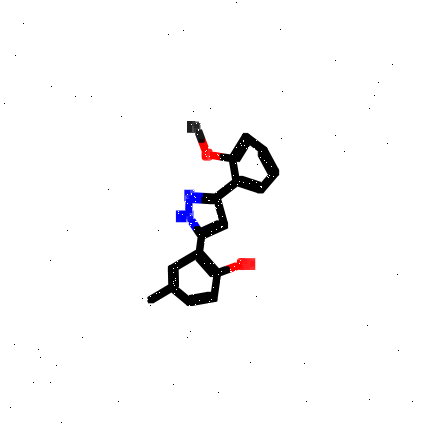 CCOc1ccccc1-c1cc(-c2cc(C)ccc2O)[nH]n1